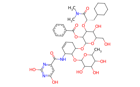 CC1OC(OC2C(NC(=O)c3cc(O)nc(O)n3)C=CCC2OC2OC(CO)C(O)C(O[C@@H](CC3CCCCC3)C(=O)N(C)C)C2OC(=O)c2ccccc2)C(O)C(O)C1O